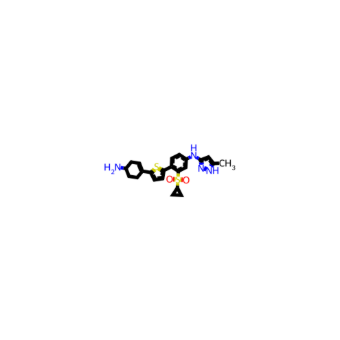 Cc1cc(Nc2ccc(-c3ccc(C4=CCC(N)CC4)s3)c(S(=O)(=O)C3CC3)c2)n[nH]1